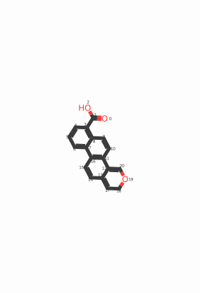 O=C(O)c1cccc2c1ccc1c3c(ccc12)=CCOC=3